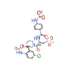 CS(=O)(=O)CC[C@H](NC(=O)c1ccc(NC(=O)O)cc1)C(=O)N1CCC[C@@]2(C1)OC(=O)Nc1ccc(Cl)cc12